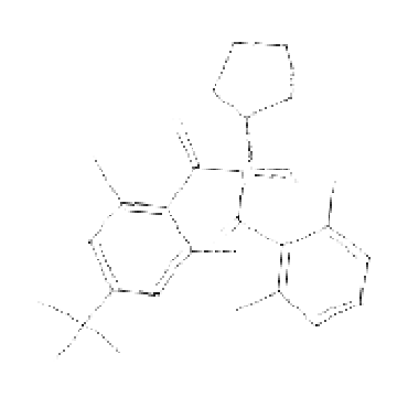 Cc1cccc(C)c1C(=O)P(=O)(C(=O)c1c(C)cc(C(C)(C)C)cc1C)C1CCCC1